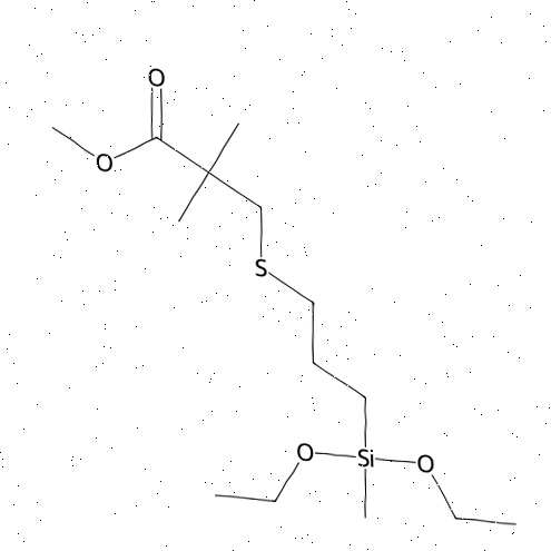 CCO[Si](C)(CCCSCC(C)(C)C(=O)OC)OCC